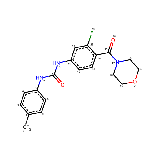 O=C(Nc1ccc(C(F)(F)F)cc1)Nc1ccc(C(=O)N2CCOCC2)c(F)c1